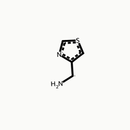 N[CH]c1cscn1